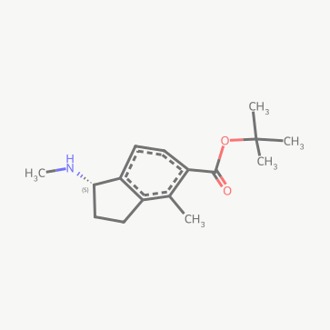 CN[C@H]1CCc2c1ccc(C(=O)OC(C)(C)C)c2C